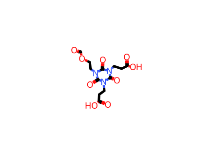 O=COCCn1c(=O)n(CCC(=O)O)c(=O)n(CCC(=O)O)c1=O